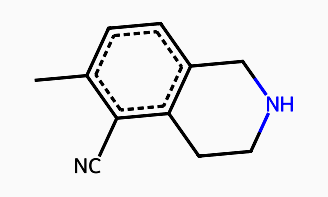 Cc1ccc2c(c1C#N)CCNC2